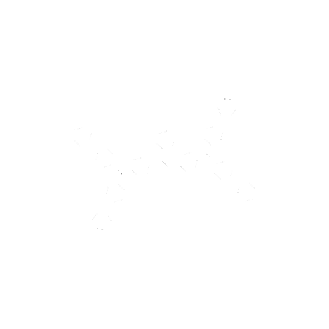 CC1(C)c2ccccc2-c2ccc(N(c3ccc(-c4ccccc4)cc3)c3ccc4c(c3)C(C)(C)c3cccc5c3c-4cc3ccc(N(c4ccc(-c6ccccc6)cc4)c4ccc6c(c4)C(C)(C)c4ccccc4-6)cc35)cc21